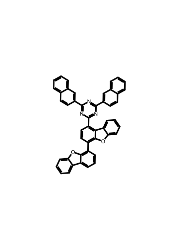 c1ccc2cc(-c3nc(-c4ccc5ccccc5c4)nc(-c4ccc(-c5cccc6c5oc5ccccc56)c5oc6ccccc6c45)n3)ccc2c1